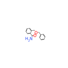 NC(=O)c1ccccc1COCc1ccccc1